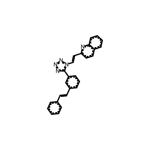 C(=Cc1cccc(-c2nnnn2/C=C/c2ccc3ccccc3n2)c1)c1ccccc1